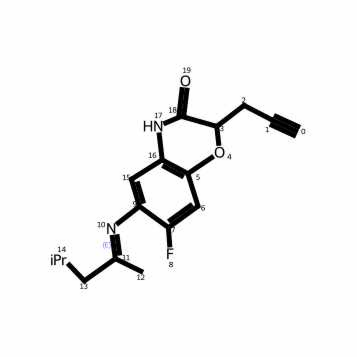 C#CCC1Oc2cc(F)c(/N=C(\C)CC(C)C)cc2NC1=O